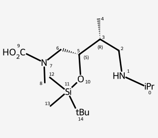 CC(C)NC[C@@H](C)[C@@H](CN(C)C(=O)O)O[Si](C)(C)C(C)(C)C